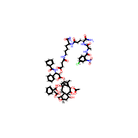 CC(=O)O[C@H]1C(=O)[C@@]2(C)[C@H]([C@H](OC(=O)c3ccccc3)[C@]3(O)C[C@H](OC(=O)[C@H](OC(=O)CCC(=O)NCCCCC(NC(=O)CC[C@H](NC(=O)C(C)NC(=O)c4ccc(Cl)cc4[N+](=O)[O-])C(N)=O)C(N)=O)[C@H](NC(=O)c4ccccc4)c4ccccc4)C(C)=C1C3(C)C)[C@]1(OC(C)=O)CO[C@@H]1C[C@@H]2O